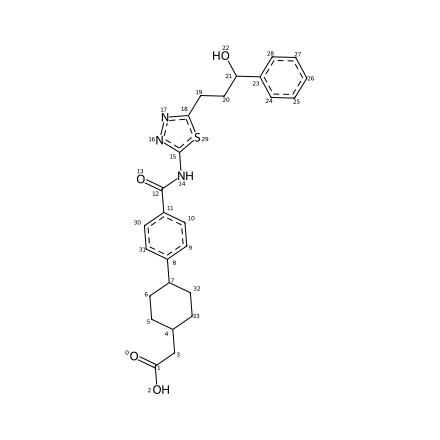 O=C(O)CC1CCC(c2ccc(C(=O)Nc3nnc(CCC(O)c4ccccc4)s3)cc2)CC1